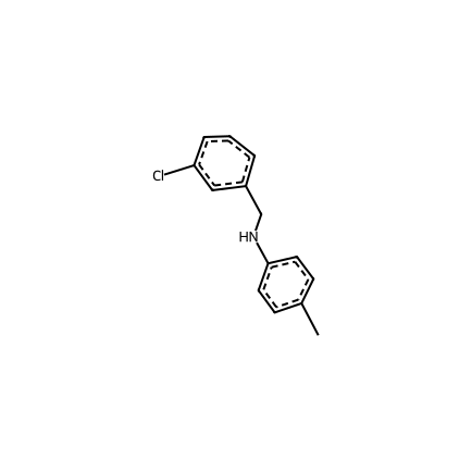 Cc1ccc(NCc2cccc(Cl)c2)cc1